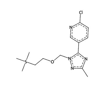 Cc1nc(-c2ccc(Cl)nc2)n(COCCS(C)(C)C)n1